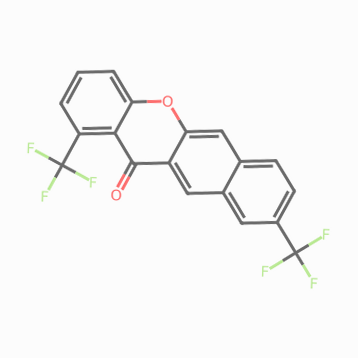 O=c1c2cc3cc(C(F)(F)F)ccc3cc2oc2cccc(C(F)(F)F)c12